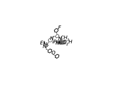 CCn1nc(Cc2ccc(OCc3ccccc3)cc2)cc1C1CCN(CC2CC(N(C)[C@@H](C(=O)O)C(C)C)CC2c2cccc(F)c2)CC1.Cl.Cl.Cl